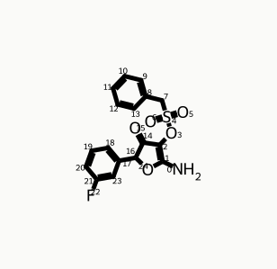 NC1=C(OS(=O)(=O)Cc2ccccc2)C(=O)C(c2cccc(F)c2)O1